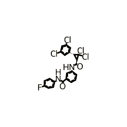 O=C(Nc1ccc(F)cc1)c1cccc(NC(=O)[C@H]2[C@H](c3cc(Cl)cc(Cl)c3)C2(Cl)Cl)c1